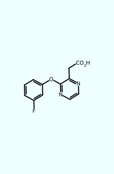 O=C(O)Cc1nccnc1Oc1cccc(F)c1